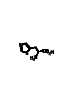 N[C@@H](Cc1cncs1)C(=O)O